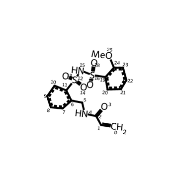 C=CC(=O)NCc1ccccc1S(=O)(=O)NS(=O)(=O)c1ccccc1OC